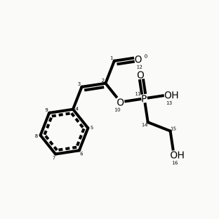 O=CC(=Cc1ccccc1)OP(=O)(O)CCO